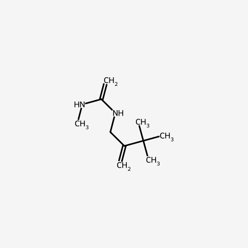 C=C(NC)NCC(=C)C(C)(C)C